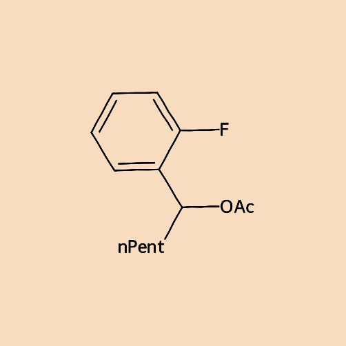 CCCCCC(OC(C)=O)c1ccccc1F